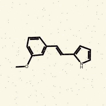 COc1cccc(C=Cc2ccc[nH]2)c1